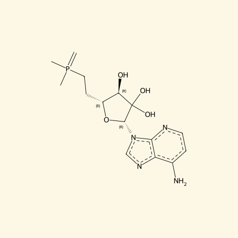 C=P(C)(C)CC[C@H]1O[C@@H](n2cnc3c(N)ccnc32)C(O)(O)[C@@H]1O